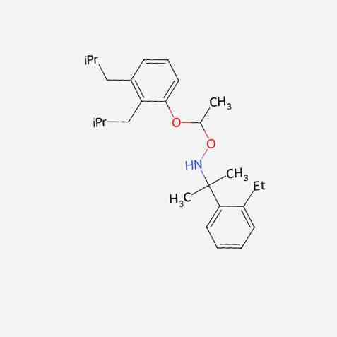 CCc1ccccc1C(C)(C)NOC(C)Oc1cccc(CC(C)C)c1CC(C)C